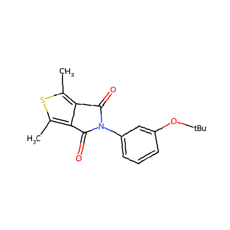 Cc1sc(C)c2c1C(=O)N(c1cccc(OC(C)(C)C)c1)C2=O